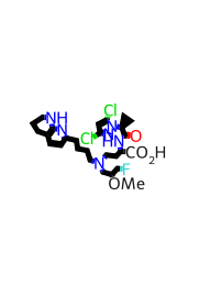 COC(CF)CN(CCCCc1ccc2c(n1)NCCC2)CCC(NC(=O)C1(n2nc(Cl)cc2Cl)CC1)C(=O)O